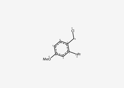 CCCc1cc(OC)ccc1CCl